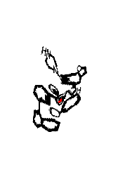 O=S(=O)(Nc1cc(N2CCNCC2)c2occc2c1)c1cccc(-c2cccc3ccccc23)c1Oc1ccccc1